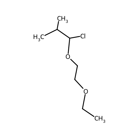 CCOCCOC(Cl)C(C)C